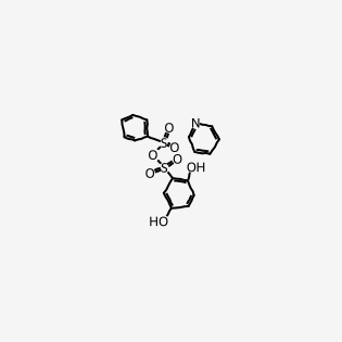 O=S(=O)(OS(=O)(=O)c1cc(O)ccc1O)c1ccccc1.c1ccncc1